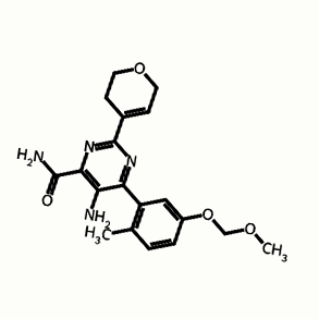 COCOc1ccc(C)c(-c2nc(C3=CCOCC3)nc(C(N)=O)c2N)c1